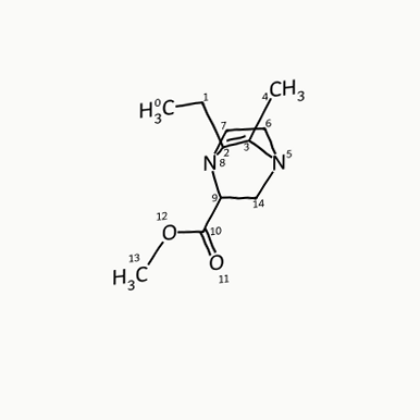 CCC1=C(C)N2CCN1C(C(=O)OC)C2